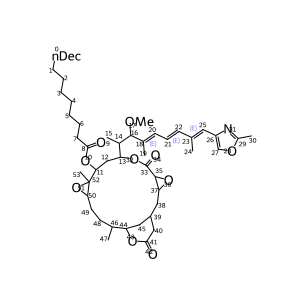 CCCCCCCCCCCCCCCCCC(=O)OC1CC(C(C)C(OC)/C(C)=C/C=C/C(C)=C/c2coc(C)n2)OC(=O)C2OC2CC2CC(=O)OC(C2)C(C)CCC2OC12C